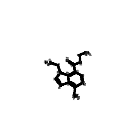 [CH2]Cn1cnc2c(N)ncc(C(=O)OCC)c21